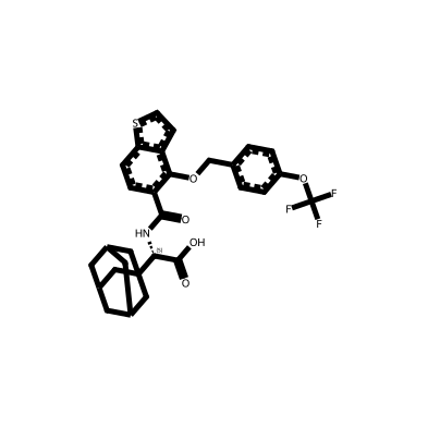 O=C(N[C@H](C(=O)O)C12CC3CC(CC(C3)C1)C2)c1ccc2sccc2c1OCc1ccc(OC(F)(F)F)cc1